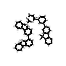 CC1(C)c2ccccc2-c2ccc(C3=CC=CC(c4ccnc(-n5c6ccccc6c6cc(-c7cccc8c7sc7ccccc78)ccc65)n4)C3)cc21